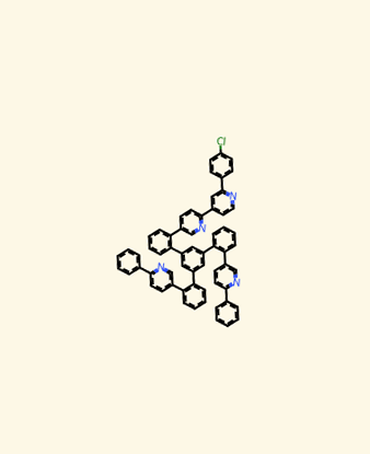 Clc1ccc(-c2cc(-c3ccc(-c4ccccc4-c4cc(-c5ccccc5-c5ccc(-c6ccccc6)nc5)cc(-c5ccccc5-c5ccc(-c6ccccc6)nc5)c4)cn3)ccn2)cc1